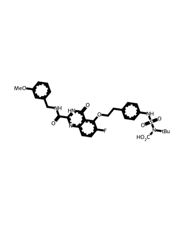 COc1cccc(CNC(=O)c2nc3ccc(F)c(OCCc4ccc(NS(=O)(=O)N(C(=O)O)C(C)(C)C)cc4)c3c(=O)[nH]2)c1